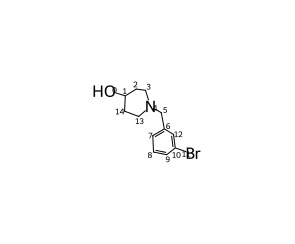 OC1CCN(Cc2cccc(Br)c2)CC1